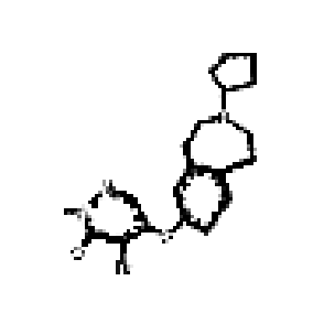 Cn1ncc(Oc2ccc3c(c2)CCN(C2CCCC2)CC3)c(Br)c1=O